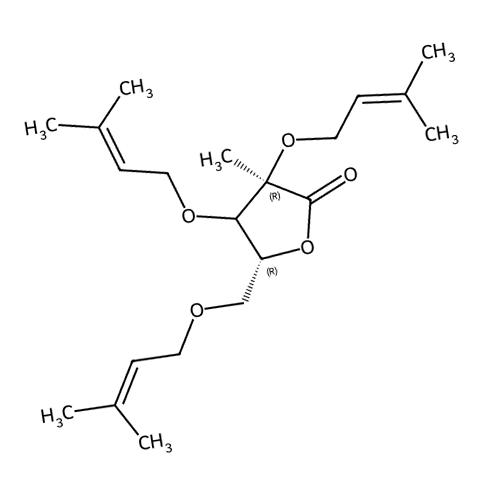 CC(C)=CCOC[C@H]1OC(=O)[C@](C)(OCC=C(C)C)C1OCC=C(C)C